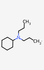 [CH2]CCN(CCC)C1CCCCC1